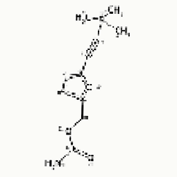 C[Si](C)(C)C#Cc1ccc(COC(N)=O)o1